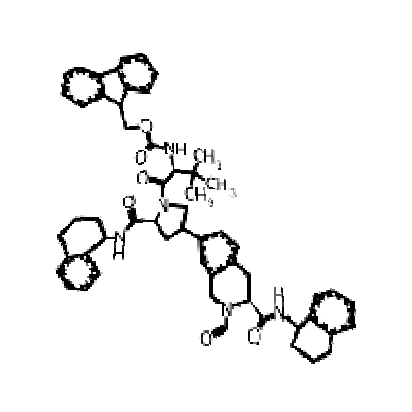 CC(C)(C)[C@H](NC(=O)OCC1c2ccccc2-c2ccccc21)C(=O)N1CC(c2ccc3c(c2)CN(C=O)[C@H](C(=O)NC2CCCc4ccccc42)C3)C[C@H]1C(=O)N[C@@H]1CCCc2ccccc21